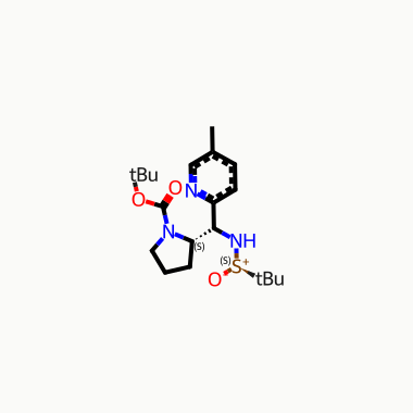 Cc1ccc(C(N[S@+]([O-])C(C)(C)C)[C@@H]2CCCN2C(=O)OC(C)(C)C)nc1